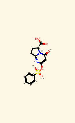 O=C(O)[C@@H]1CCc2nc(OS(=O)(=O)c3ccccc3)cc(=O)n21